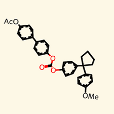 COc1ccc(C2(c3ccc(OC(=O)Oc4ccc(-c5ccc(OC(C)=O)cc5)cc4)cc3)CCCC2)cc1